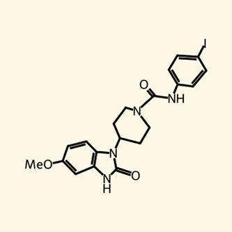 COc1ccc2c(c1)[nH]c(=O)n2C1CCN(C(=O)Nc2ccc(I)cc2)CC1